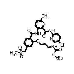 Cc1ccc(NC(=O)c2ccc(CS(C)(=O)=O)cc2OCCCNC(=O)OC(C)(C)C)c(C(=O)Nc2ccc(Cl)cn2)n1